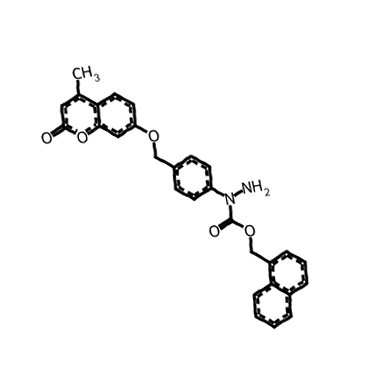 Cc1cc(=O)oc2cc(OCc3ccc(N(N)C(=O)OCc4cccc5ccccc45)cc3)ccc12